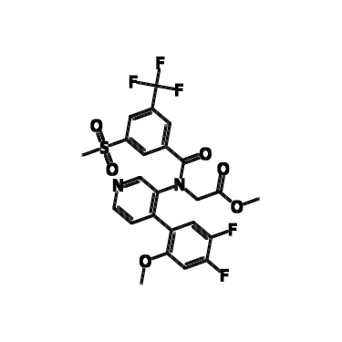 COC(=O)CN(C(=O)c1cc(C(F)(F)F)cc(S(C)(=O)=O)c1)c1cnccc1-c1cc(F)c(F)cc1OC